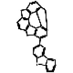 c1ccc2c(c1)sc1ccc(-c3cc4c5c6c(ccc7c6c6c(ccc8c6c5c3C8)C7)C4)cc12